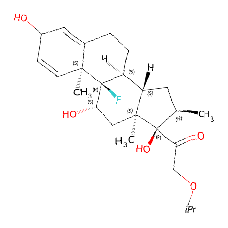 CC(C)OCC(=O)[C@@]1(O)[C@H](C)C[C@H]2[C@@H]3CCC4=CC(O)C=C[C@]4(C)[C@@]3(F)[C@@H](O)C[C@@]21C